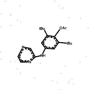 CC(=O)Oc1c(C(C)(C)C)cc(Nc2cnccn2)cc1C(C)(C)C